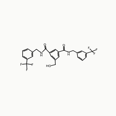 O=C(NCc1cccc(C(F)(F)F)c1)c1cc(CO)cc(C(=O)NCc2cccc(C(F)(F)F)c2)c1